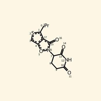 CC(C)c1scc2on(C3CCC(=O)NC3=O)c(=O)c12